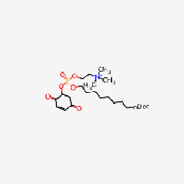 CCCCCCCCCCCCCCCCCCOP(=O)(OCC[N+](C)(C)C)OC1CC(=O)C=CC1=O